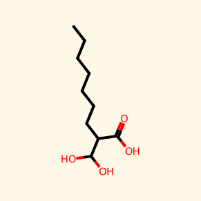 CCCCCCCC(C(=O)O)C(O)O